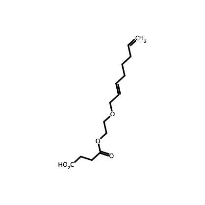 C=CCCCC=CCOCCOC(=O)CCC(=O)O